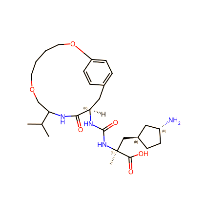 CC(C)C1COCCCCOc2ccc(cc2)C[C@@H](NC(=O)N[C@@](C)(C[C@@H]2CC[C@@H](N)C2)C(=O)O)C(=O)N1